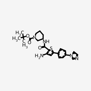 CC(C)(C)OC(=O)N1CCC[C@H](NC(=O)c2sc(-c3ccc(-n4ccnc4)cc3)cc2N)C1